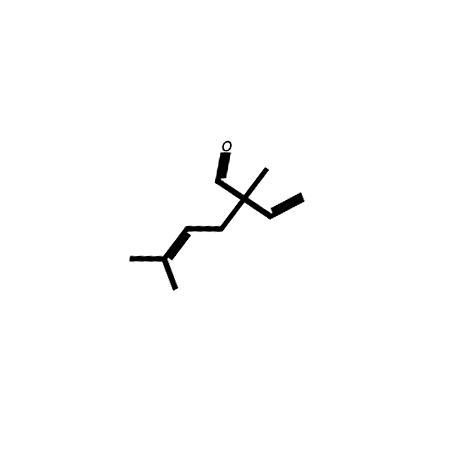 C=CC(C)(C=O)CC=C(C)C